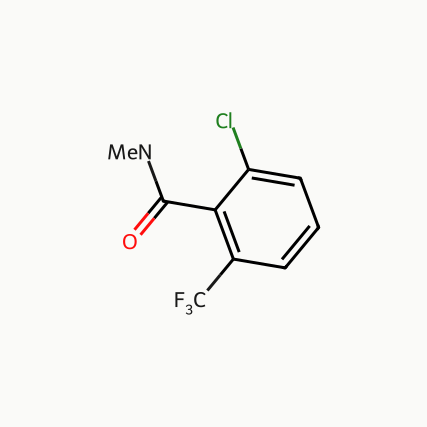 CNC(=O)c1c(Cl)cccc1C(F)(F)F